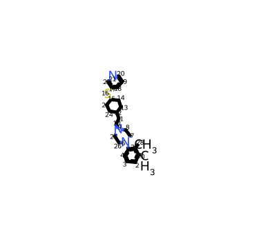 Cc1cccc(N2CCN(CCC3CCC(Sc4cccnc4)CC3)CC2)c1C